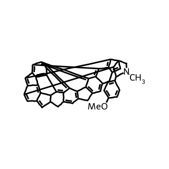 COc1ccc(C2C3c4cc5c6c7c4c4c8c9c%10c%11c(cc%12c%13c%14c(cc%15c%16c(c%17c7c4c%10c(c%13%11)c%17c%16%14)C6C(C=5)C%15)C%12)CC9=CC83CN2C)cc1